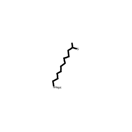 CCCCCCCCCCCCCCCCC(C)[S]